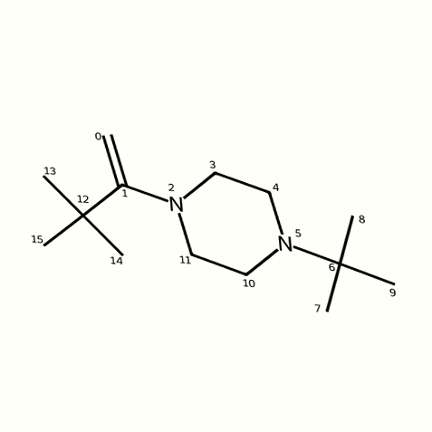 C=C(N1CCN(C(C)(C)C)CC1)C(C)(C)C